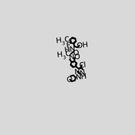 Cc1cccc(C(CO)NC(=O)C(C)N2Cc3ccc(-c4nc(NC5CCOCC5)ncc4Cl)cc3C2=O)c1F